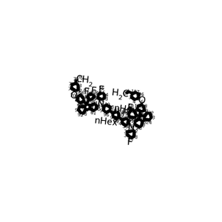 C=Cc1ccc(Oc2ccc(C3(c4ccc(F)c(F)c4)c4ccccc4-c4ccc(N(c5ccc(F)cc5)c5ccc(-c6cc(CCCCCC)c(-c7ccc(N(c8ccc(F)cc8)c8ccc9c(c8)C(c8ccc(Oc%10ccc(C=C)cc%10)cc8)(c8ccc(F)c(F)c8)c8ccccc8-9)cc7)cc6CCCCCC)cc5)cc43)cc2)cc1